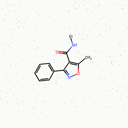 CCNC(=O)c1c(-c2ccccc2)noc1C